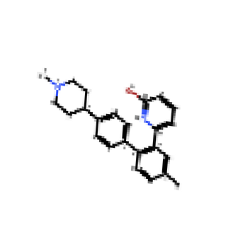 CCN1CCC(c2ccc(-c3ccc(C)cc3-c3cccc(Br)n3)cc2)CC1